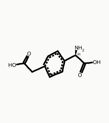 N[C@@H](C(=O)O)c1ccc(CC(=O)O)cc1